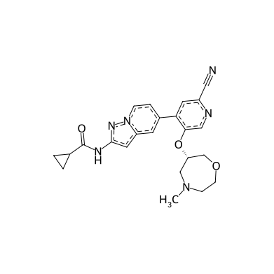 CN1CCOC[C@@H](Oc2cnc(C#N)cc2-c2ccn3nc(NC(=O)C4CC4)cc3c2)C1